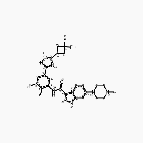 Cc1c(F)cc(-c2noc(C3CC(F)(F)C3)n2)cc1NC(=O)c1cnc2cc(N3CCN(C)CC3)ccn12